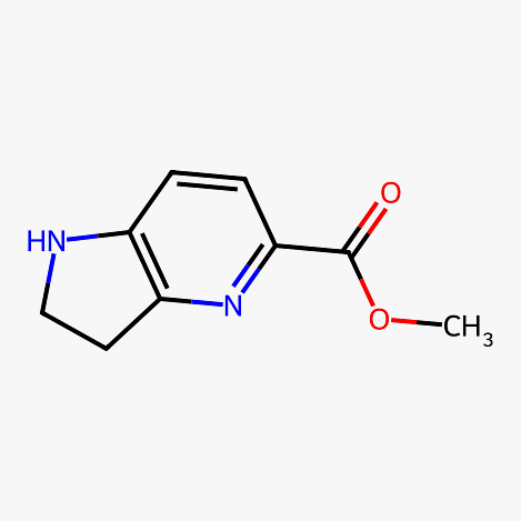 COC(=O)c1ccc2c(n1)CCN2